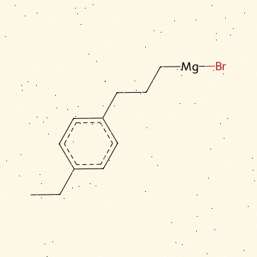 CCc1ccc(CC[CH2][Mg][Br])cc1